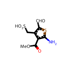 COC(=O)c1c(N)sc(C=O)c1CS(=O)(=O)O